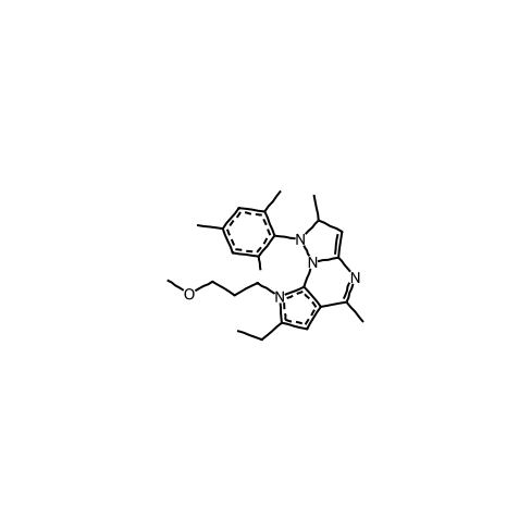 CCc1cc2c(n1CCCOC)N1C(=CC(C)N1c1c(C)cc(C)cc1C)N=C2C